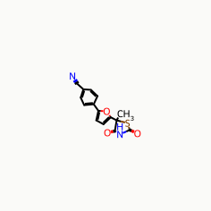 CC1(c2ccc(-c3ccc(C#N)cc3)o2)SC(=O)NC1=O